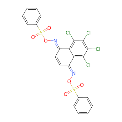 O=S(=O)(ON=C1C=CC(=NOS(=O)(=O)c2ccccc2)c2c(Cl)c(Cl)c(Cl)c(Cl)c21)c1ccccc1